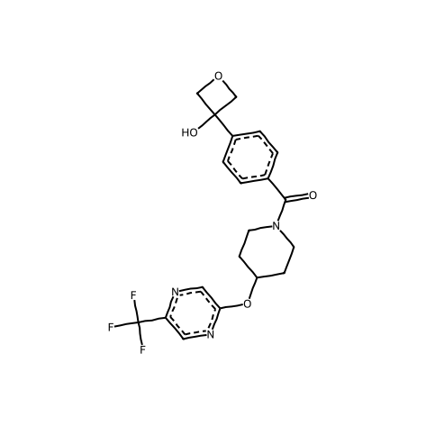 O=C(c1ccc(C2(O)COC2)cc1)N1CCC(Oc2cnc(C(F)(F)F)cn2)CC1